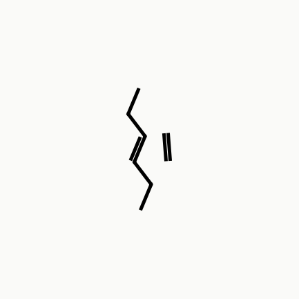 C=C.CC/C=C/CC